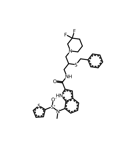 CN(c1cccc2cc(C(=O)NCC(CN3CCCC(F)(F)C3)SCc3ccccc3)[nH]c12)[S+]([O-])c1cccs1